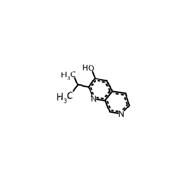 CC(C)c1nc2cnccc2cc1O